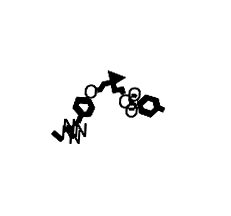 CCn1nnc(-c2ccc(OCCC3(CCOS(=O)(=O)c4ccc(C)cc4)CC3)cc2)n1